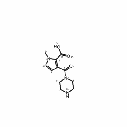 Cn1ncc(C(=O)N2CCNCC2)c1C(=O)O